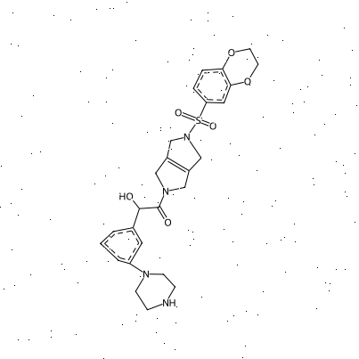 O=C(C(O)c1cccc(N2CCNCC2)c1)N1CC2=C(C1)CN(S(=O)(=O)c1ccc3c(c1)OCCO3)C2